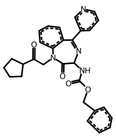 O=C(NC1N=C(c2cccnc2)c2ccccc2N(CC(=O)C2CCCC2)C1=O)OCc1ccccc1